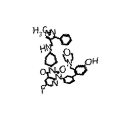 Cn1cc(CNC2CCC(n3c(=O)c4cc(F)cnc4n(-c4cccc(-c5ccc(O)cc5CN5CCOCC5)c4)c3=O)CC2)c(-c2ccccc2)n1